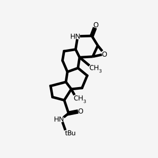 CC(C)(C)NC(=O)C1CCC2C3CCC4NC(=O)C5OC5C4(C)C3CCC12C